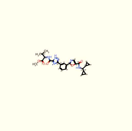 COC(=O)C(NC(=O)c1nc(-c2cccc(-c3ncc(C(=O)NC(C4CC4)C4CC4)o3)c2)n[nH]1)C(C)C